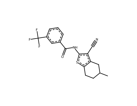 CC1CCc2sc(NC(=O)c3cccc(C(F)(F)F)c3)c(C#N)c2C1